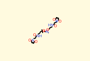 CN(COC(C)(C)CCCNC(=O)CCN1C(=O)C=CC1=O)OCCCNC(=O)CCN1C(=O)C=CC1=O